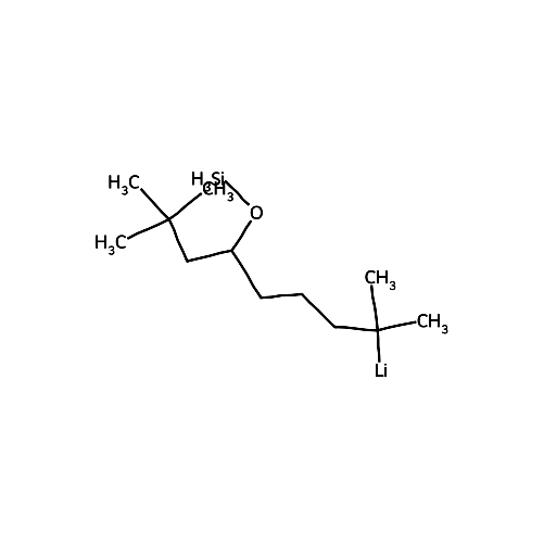 [Li][C](C)(C)CCCC(CC(C)(C)C)O[SiH3]